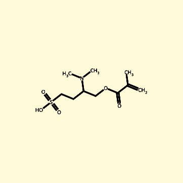 C=C(C)C(=O)OCC(CCS(=O)(=O)O)N(C)C